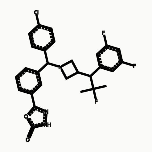 CC(C)(F)C(c1cc(F)cc(F)c1)C1CN(C(c2ccc(Cl)cc2)c2cccc(-c3n[nH]c(=O)o3)c2)C1